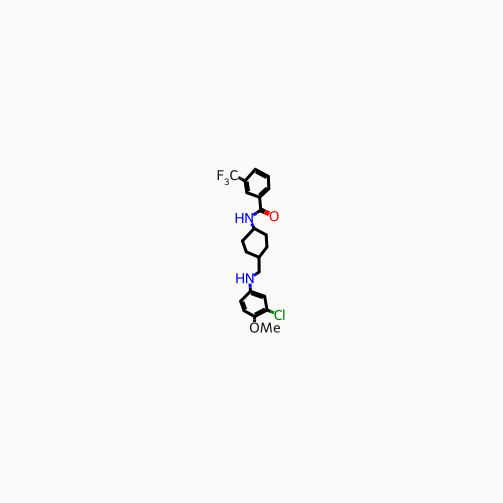 COc1ccc(NCC2CCC(NC(=O)c3cccc(C(F)(F)F)c3)CC2)cc1Cl